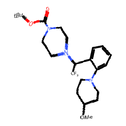 COC1CCN(c2ccccc2C(N2CCN(C(=O)OC(C)(C)C)CC2)C(F)(F)F)CC1